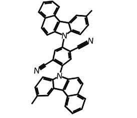 Cc1ccc2c(c1)c1c3ccccc3ccc1n2-c1cc(C#N)c(-n2c3ccc(C)cc3c3c4ccccc4ccc32)cc1C#N